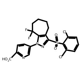 O=C(O)c1ccc(-n2nc(S(=O)(=O)c3c(Cl)cccc3Cl)c3c2C(F)(F)CCCC3)cn1